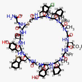 CCCC[C@H]1C(=O)N(C)CC(=O)N[C@@H](CC(=O)O)C(=O)N[C@@H](C(C)C)C(=O)N(C)[C@@H](Cc2ccccc2)C(=O)N[C@@H](Cc2ccc(O)cc2)C(=O)N(C)CC(=O)N[C@@H](Cc2csc3ccccc23)C(=O)N[C@@H](Cc2ccc(O)cc2)C(=O)N[C@@H](CC(C)C)C(=O)N[C@H](C(=O)NCC(N)=O)CSCC(=O)N[C@@H](Cc2ccc(Cl)cc2)C(=O)N(C)[C@@H](Cc2ccccc2)C(=O)N1C